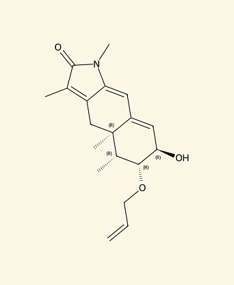 C=CCO[C@H]1[C@H](O)C=C2C=C3C(=C(C)C(=O)N3C)C[C@]2(C)[C@H]1C